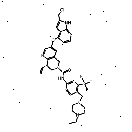 C=C[C@@H]1CN(C(=O)Nc2ccc(CN3CCN(CC)CC3)c(C(F)(F)F)c2)Cc2cc(Oc3ccnc4[nH]c(CO)cc34)cnc21